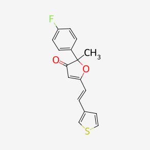 CC1(c2ccc(F)cc2)OC(C=Cc2ccsc2)=CC1=O